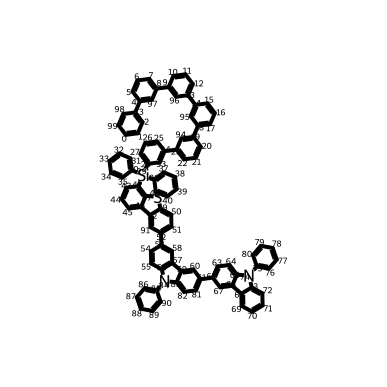 c1ccc(-c2cccc(-c3cccc(-c4cccc(-c5cccc(-c6cccc([Si](c7ccccc7)(c7ccccc7)c7cccc8c7sc7ccc(-c9ccc%10c(c9)c9cc(-c%11ccc%12c(c%11)c%11ccccc%11n%12-c%11ccccc%11)ccc9n%10-c9ccccc9)cc78)c6)c5)c4)c3)c2)cc1